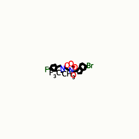 C[C@H](N(Cc1ccc(F)cc1)C(=O)CN1C(=O)O[C@@]2(CCc3cc(Br)ccc32)C1=O)C(F)(F)F